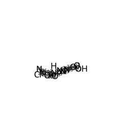 CC1(C)C(NC(=O)c2ccc(N3CCN(C4CC(OCC(=O)O)C4)CC3)nc2)C(C)(C)C1Oc1ccc(C#N)c(Cl)c1